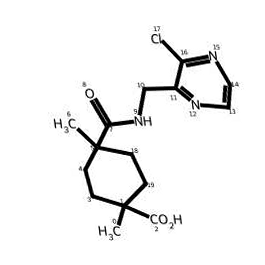 CC1(C(=O)O)CCC(C)(C(=O)NCc2nccnc2Cl)CC1